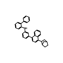 c1ccc(-c2ccccc2Nc2cccc(-c3ccc(C4CC5CCC4C5)c4ccccc34)c2)cc1